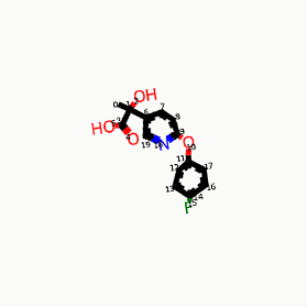 CC(O)(C(=O)O)c1ccc(Oc2ccc(F)cc2)nc1